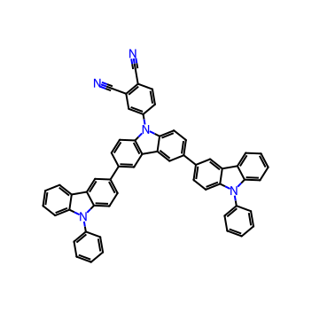 N#Cc1ccc(-n2c3ccc(-c4ccc5c(c4)c4ccccc4n5-c4ccccc4)cc3c3cc(-c4ccc5c(c4)c4ccccc4n5-c4ccccc4)ccc32)cc1C#N